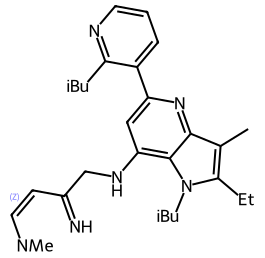 CCc1c(C)c2nc(-c3cccnc3C(C)CC)cc(NCC(=N)/C=C\NC)c2n1C(C)CC